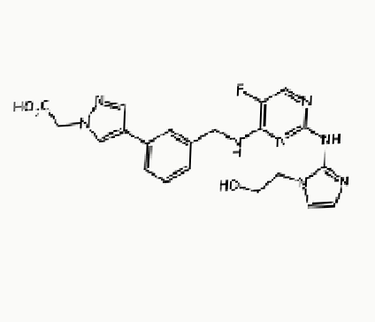 O=C(O)Cn1cc(-c2cccc(CNc3nc(Nc4nccn4CCO)ncc3F)c2)cn1